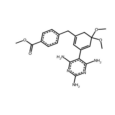 COC(=O)c1ccc(CC2=CC(c3c(N)nc(N)nc3N)=CC(OC)(OC)C2)cc1